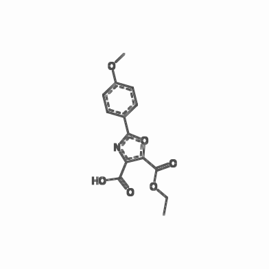 CCOC(=O)c1oc(-c2ccc(OC)cc2)nc1C(=O)O